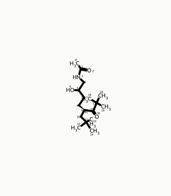 CC(=O)NCC(O)CC[C@H](CC(C)(C)C)C(=O)C(C)(C)C